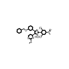 CSc1nccc(-c2c(-c3cccc(OCc4ccccc4)c3)nc(-c3c(Cl)cc([S+](C)[O-])cc3Cl)n2O)n1